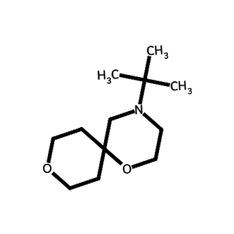 CC(C)(C)N1CCOC2(CCOCC2)C1